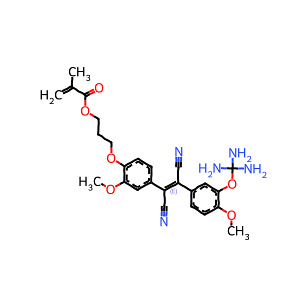 C=C(C)C(=O)OCCCOc1ccc(/C(C#N)=C(\C#N)c2ccc(OC)c(OC(N)(N)N)c2)cc1OC